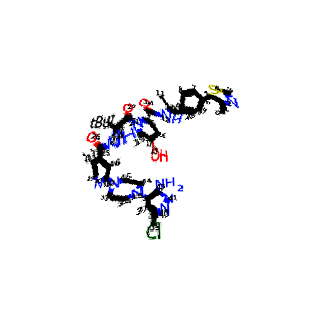 Cc1ncsc1-c1ccc([C@H](C)NC(=O)[C@@H]2C[C@@H](O)CN2C(=O)[C@@H](NC(=O)c2ccnc(N3CCN(c4cc(Cl)nnc4N)CC3)c2)C(C)(C)C)cc1